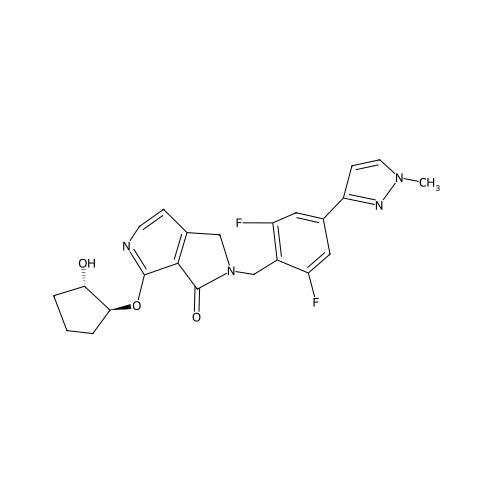 Cn1ccc(-c2cc(F)c(CN3Cc4ccnc(O[C@H]5CCC[C@@H]5O)c4C3=O)c(F)c2)n1